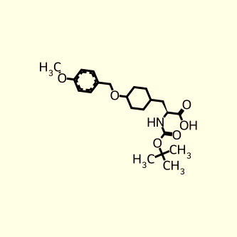 COc1ccc(COC2CCC(C[C@H](NC(=O)OC(C)(C)C)C(=O)O)CC2)cc1